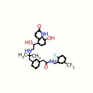 CC(C)(Cc1cccc(CC(=O)NCc2cc(C(F)(F)F)ccc2F)c1)NC[C@@H](O)c1ccc(O)c2[nH]c(=O)ccc12